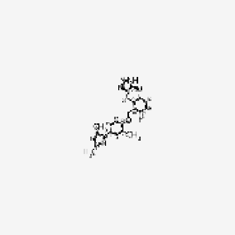 Cc1cc(-c2nn(C)cc2C)ccc1OCc1c(F)cccc1Cn1nn[nH]c1=O